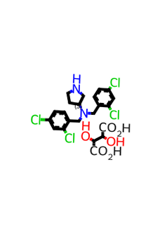 Clc1ccc(CN(Cc2ccc(Cl)cc2Cl)[C@H]2CCNC2)c(Cl)c1.O=C(O)C(O)C(O)C(=O)O